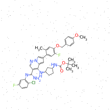 COc1ccc(COc2cc(C)c(-c3cc4c(N[C@@H]5CC[C@H](NC(=O)OC(C)(C)C)C5)c(/C(N)=N/c5cc(F)ccc5Cl)cnn4c3)cc2F)cc1